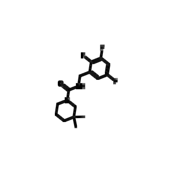 CC1(C)CCCN(C(=O)NCc2cc(F)cc(F)c2F)C1